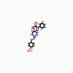 COc1ccc(CCN2CCC3(CC2)CN(c2ccccc2)C(=O)CO3)cc1